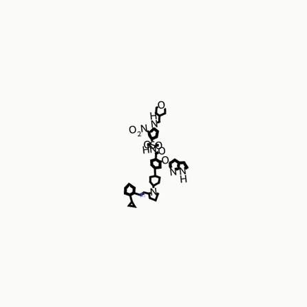 O=C(NS(=O)(=O)c1ccc(NCC2CCOCC2)c([N+](=O)[O-])c1)c1ccc(C2CCC(N3CCCC3/C=C/c3ccccc3C3CC3)CC2)cc1Oc1cnc2[nH]ccc2c1